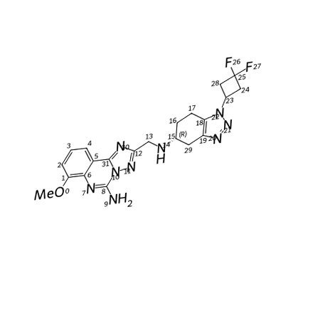 COc1cccc2c1nc(N)n1nc(CN[C@@H]3CCc4c(nnn4C4CC(F)(F)C4)C3)nc21